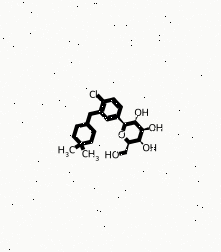 CC1(C)CCC(Cc2cc([C@@H]3O[C@H](CO)[C@@H](O)[C@H](O)[C@H]3O)ccc2Cl)CC1